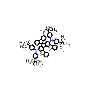 CC(C)(C)c1ccc(N(c2ccc(C(C)(C)C)cc2)c2cc3c(c4c2sc2ccccc24)-c2c(cc(N(c4ccc(C(C)(C)C)cc4)c4ccc(C(C)(C)C)cc4)c4c2sc2ccccc24)C32c3ccccc3-c3cc(F)ccc32)cc1